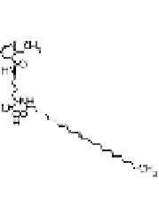 CCC=CCC=CCC=CCC=CCC=CCC=CCCC(=O)NC(CCCCNC(=O)c1cccnc1CC)C(=O)O